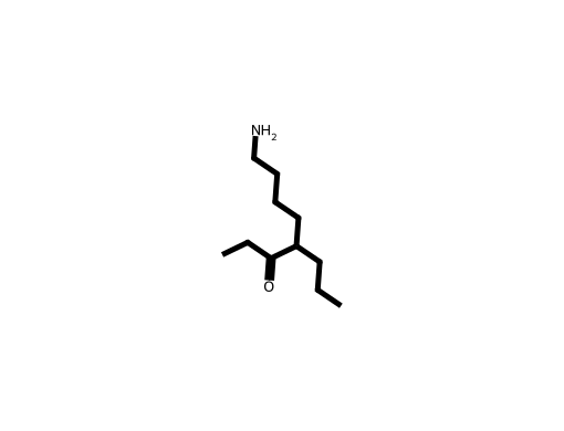 CCCC(CCCCN)C(=O)CC